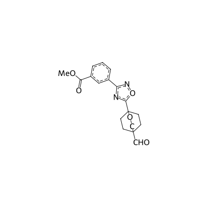 COC(=O)c1cccc(-c2noc(C34CCC(C=O)(CC3)CO4)n2)c1